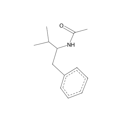 CC(=O)NC(Cc1ccccc1)C(C)C